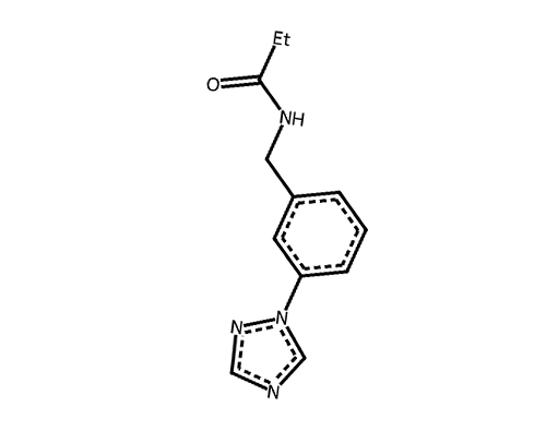 CCC(=O)NCc1cccc(-n2cncn2)c1